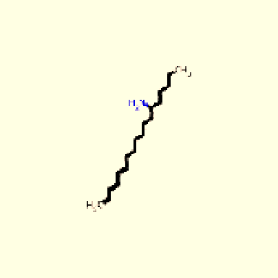 C=C/C=C/C=C/CCCCCCC(N)CCCCC